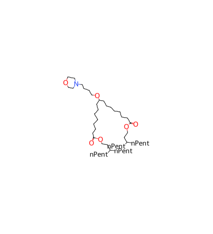 CCCCCC(CCCCC)CCOC(=O)CCCCCCCC(CCCCCCCC(=O)OCCC(CCCCC)CCCCC)OCCCCN1CCOCC1